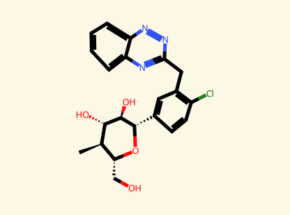 C[C@H]1[C@H](O)[C@@H](O)[C@H](c2ccc(Cl)c(Cc3nnc4ccccc4n3)c2)O[C@@H]1CO